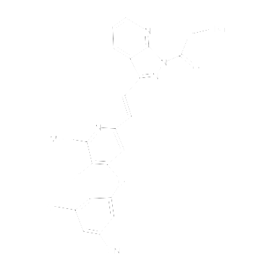 COc1nc(C=Cc2nn(C(=O)OC(C)(C)C)c3ncccc23)cc(Oc2cc(Cl)cc(C#N)c2)c1Cl